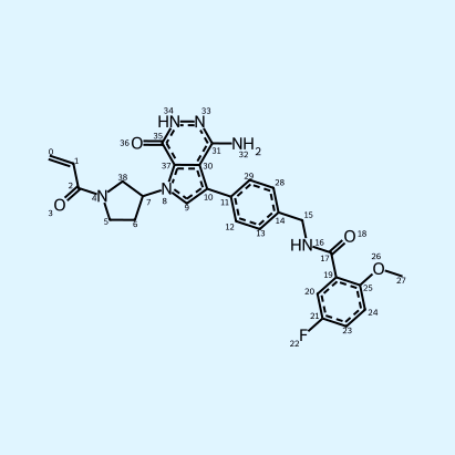 C=CC(=O)N1CCC(n2cc(-c3ccc(CNC(=O)c4cc(F)ccc4OC)cc3)c3c(N)n[nH]c(=O)c32)C1